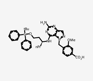 CCC[C@@H](CCO[Si](c1ccccc1)(c1ccccc1)C(C)(C)C)Nc1nc(N)nc2cnn(Cc3ccc(C(=O)O)cc3OC)c12